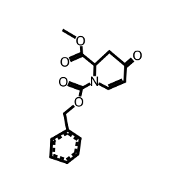 COC(=O)C1CC(=O)C=CN1C(=O)OCc1ccccc1